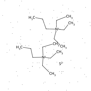 CCC[N+](CC)(CC)CC.CCC[N+](CC)(CC)CC.[S-2]